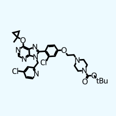 CC(C)(C)OC(=O)N1CCN(CCOc2ccc(-c3nc4c(OC5(C)CC5)ncnc4n3Cc3cc(Cl)ccn3)c(Cl)c2)CC1